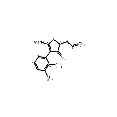 C=CCC1SC(NC)=C(c2cccc(C(F)(F)F)c2C)C1=O